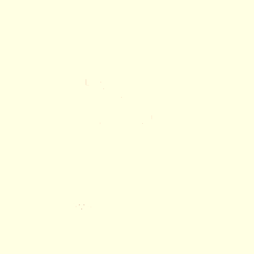 CCOC(=O)C(COCc1ccc(OC)cc1)(C(=O)OCC)c1ccc(F)c(F)c1